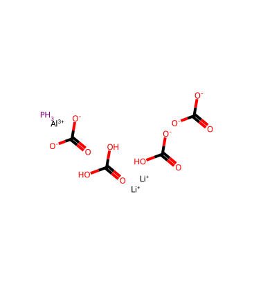 O=C(O)O.O=C([O-])O.O=C([O-])[O-].O=C([O-])[O-].P.[Al+3].[Li+].[Li+]